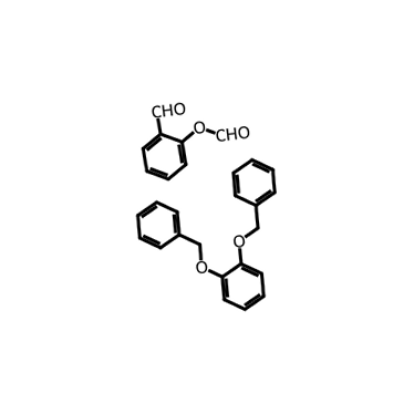 O=COc1ccccc1C=O.c1ccc(COc2ccccc2OCc2ccccc2)cc1